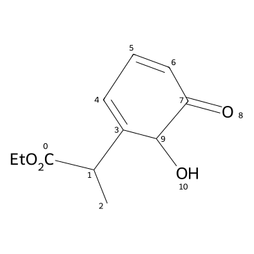 CCOC(=O)C(C)C1=CC=CC(=O)C1O